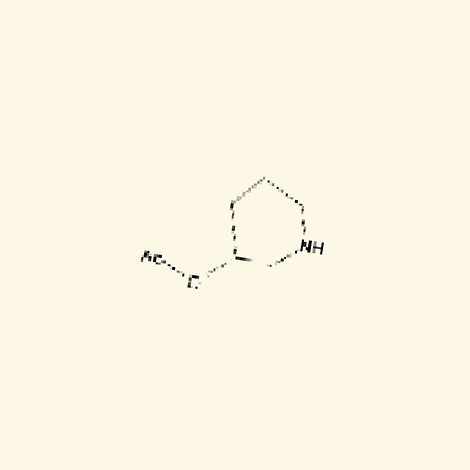 CC(=O)O[C@@H]1CCCNC1